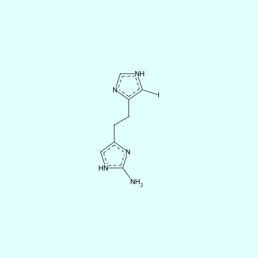 Nc1nc(CCc2nc[nH]c2I)c[nH]1